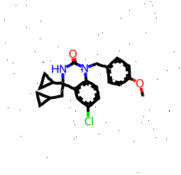 COc1ccc(CN2C(=O)NC(CC3CC3)(C3CC3)c3cc(Cl)ccc32)cc1